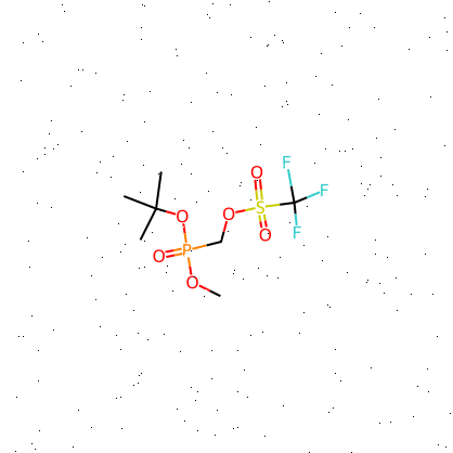 COP(=O)(COS(=O)(=O)C(F)(F)F)OC(C)(C)C